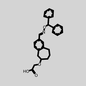 O=C(O)COC1CCCc2cc(C=NOC(c3ccccc3)c3ccccc3)ccc2C1